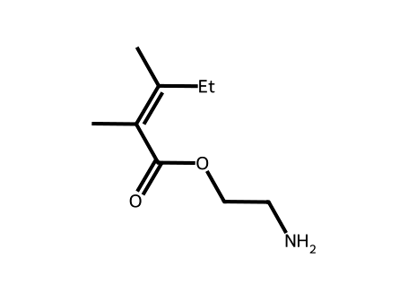 CCC(C)=C(C)C(=O)OCCN